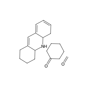 C1=CCC2NC3CCCCC3=CC2=C1.C=O.O=C1CCCCC1